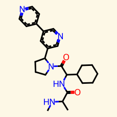 CNC(C)C(=O)NC(C(=O)N1CCCC1c1cncc(-c2ccncc2)c1)C1CCCCC1